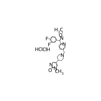 CCO/N=C(\c1ccc(F)c(F)c1)c1ccc(CN2CCC(c3cnc(=O)n(C)c3)CC2)cn1.Cl.Cl